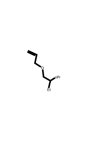 C=CCOCC(CC)CCC